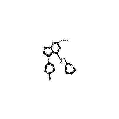 CNc1nc(NCc2ccccn2)c2c(-c3ccc(F)cc3)csc2n1